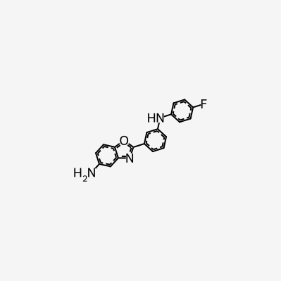 Nc1ccc2oc(-c3cccc(Nc4ccc(F)cc4)c3)nc2c1